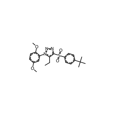 CCc1c(S(=O)(=O)c2ccc(C(C)(C)C)cc2)nnn1-c1cc(OC)ccc1OC